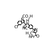 CCCC(=O)c1cnn(-c2ccc(NC(=O)c3cn(CC(=O)O)c4ccc(Cl)cc34)c(C#N)c2)c1C